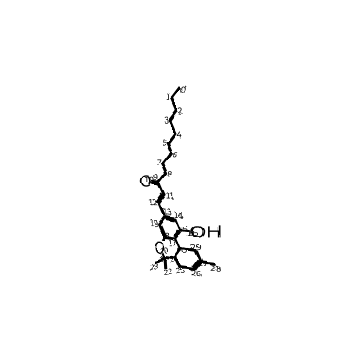 CCCCCCCCCC(=O)/C=C/c1cc(O)c2c(c1)OC(C)(C)C1CC=C(C)CC21